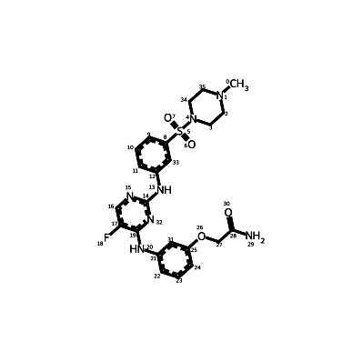 CN1CCN(S(=O)(=O)c2cccc(Nc3ncc(F)c(Nc4cccc(OCC(N)=O)c4)n3)c2)CC1